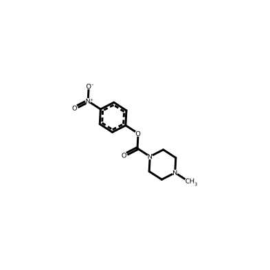 CN1CCN(C(=O)Oc2ccc([N+](=O)[O-])cc2)CC1